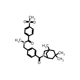 CN(Cc1ccc(C(=O)N2CC3(C)CC2CC(C)(C)C3)cc1)C(=O)c1ccc(S(C)(=O)=O)cc1